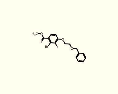 COC(=O)c1ccc(OCCOCc2ccccc2)c(F)c1Br